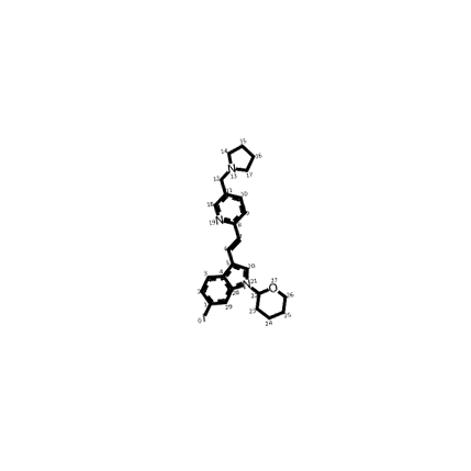 Ic1ccc2c(/C=C/c3ccc(CN4CCCC4)cn3)cn(C3CCCCO3)c2c1